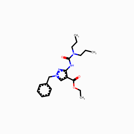 CCCN(CCC)C(=O)Nc1nn(Cc2ccccc2)cc1C(=O)OCC